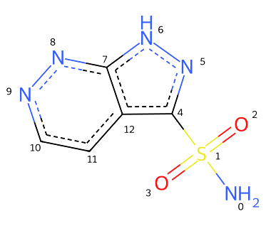 NS(=O)(=O)c1n[nH]c2nnccc12